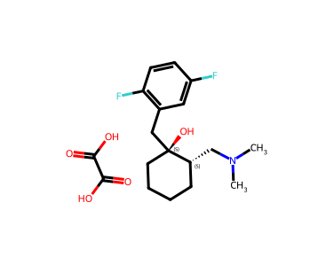 CN(C)C[C@@H]1CCCC[C@]1(O)Cc1cc(F)ccc1F.O=C(O)C(=O)O